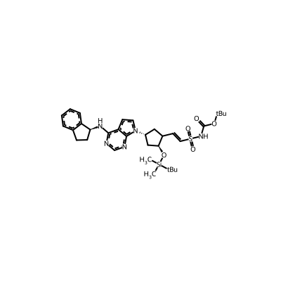 CC(C)(C)OC(=O)NS(=O)(=O)/C=C/C1C[C@@H](n2ccc3c(N[C@H]4CCc5ccccc54)ncnc32)C[C@@H]1O[Si](C)(C)C(C)(C)C